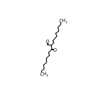 CCCCCCCCC(=O)C([C]=O)CCCCCCCC